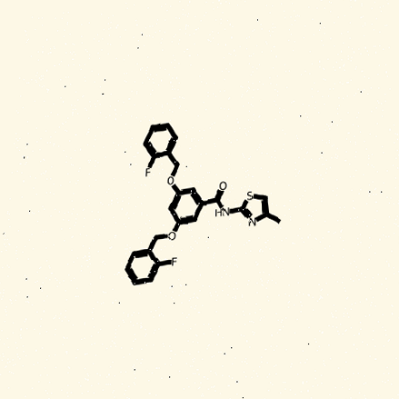 Cc1csc(NC(=O)c2cc(OCc3ccccc3F)cc(OCc3ccccc3F)c2)n1